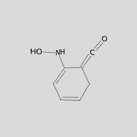 O=C=C1CC=CC=C1NO